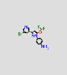 Nc1ccc(-n2nc(-c3cncc(Br)c3)cc2OC(F)F)cc1